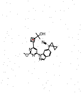 COc1nc(N2CC3(C(C)(C)O)CC2C3)cc(-n2ncc3ccc([C@@]4(C#N)CC45CC5)cc32)n1